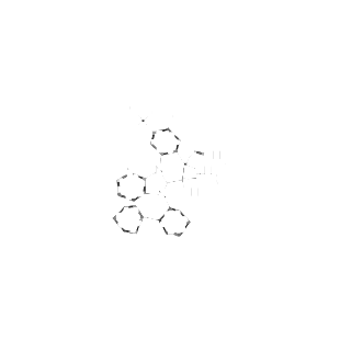 C=CC1(C)c2ccc(C(C)(C)C)cc2N2c3ncccc3N(c3ccccc3-c3ccccc3)C2C1(C)C